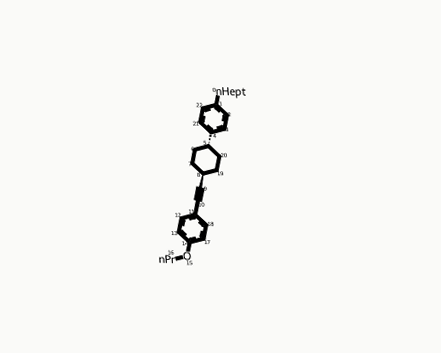 CCCCCCCc1ccc([C@H]2CC[C@H](C#Cc3ccc(OCCC)cc3)CC2)cc1